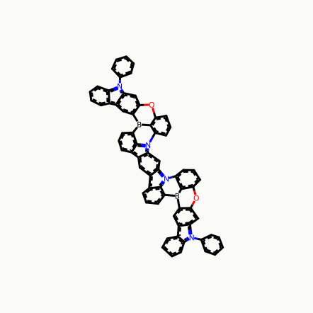 c1ccc(-n2c3ccccc3c3cc4c(cc32)Oc2cccc3c2B4c2cccc4c5cc6c7cccc8c7n(c6cc5n-3c24)-c2cccc3c2B8c2cc4c5ccccc5n(-c5ccccc5)c4cc2O3)cc1